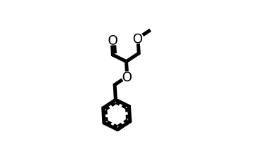 COCC(C=O)OCc1ccccc1